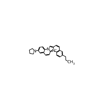 CCCc1ccc2c(ccc3cn4c5ccc(N6CCCC6)cc5ccc4[n+]32)c1